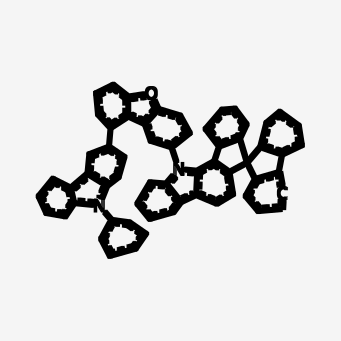 c1ccc(-n2c3ccccc3c3cc(-c4cccc5oc6ccc(-n7c8ccccc8c8ccc9c(c87)-c7ccccc7C97c8ccccc8-c8ccccc87)cc6c45)ccc32)cc1